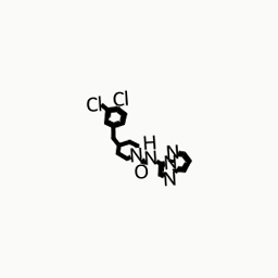 O=C(Nc1cnc2cccnn12)N1CCC(Cc2ccc(Cl)c(Cl)c2)CC1